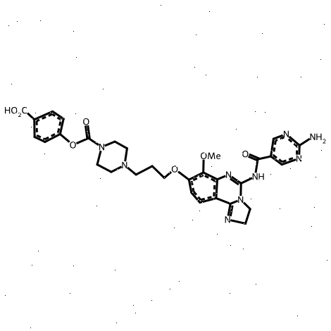 COc1c(OCCCN2CCN(C(=O)Oc3ccc(C(=O)O)cc3)CC2)ccc2c1N=C(NC(=O)c1cnc(N)nc1)N1CCN=C21